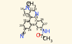 CC(=O)Nc1ccc(-c2ncc3c(ccn3C)c2-c2ccc(C#N)cc2)cc1